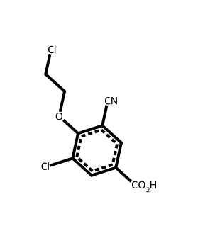 N#Cc1cc(C(=O)O)cc(Cl)c1OCCCl